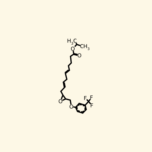 CC(C)OC(=O)CCC/C=C/C/C=C/CC1OC1COc1cccc(C(F)(F)F)c1